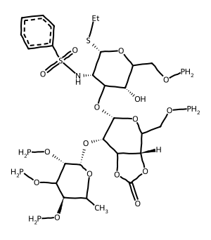 CCS[C@@H]1OC(COP)[C@H](O)C(O[C@@H]2OC(COP)[C@@H]3OC(=O)OC3[C@@H]2O[C@@H]2OC(C)[C@@H](OP)C(OP)[C@@H]2OP)[C@@H]1NS(=O)(=O)c1ccccc1